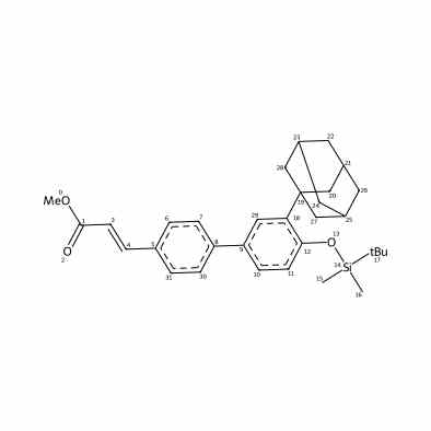 COC(=O)C=Cc1ccc(-c2ccc(O[Si](C)(C)C(C)(C)C)c(C34CC5CC(CC(C5)C3)C4)c2)cc1